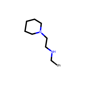 CC(C)CNCCN1CCCCC1